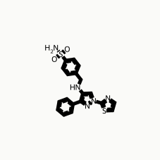 NS(=O)(=O)c1ccc(CNc2cn(-c3nccs3)nc2-c2ccccc2)cc1